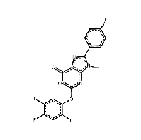 Cn1c(-c2ccc(F)cc2)nc2c(=O)[nH]c(Oc3cc(F)c(F)cc3F)nc21